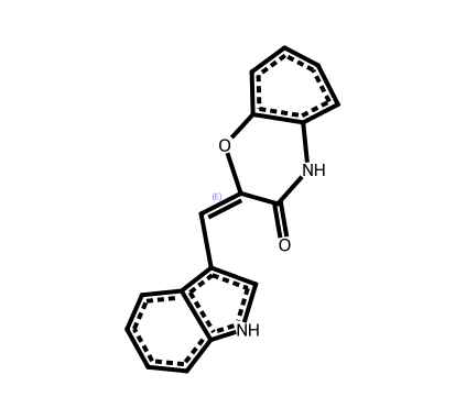 O=C1Nc2ccccc2O/C1=C/c1c[nH]c2ccccc12